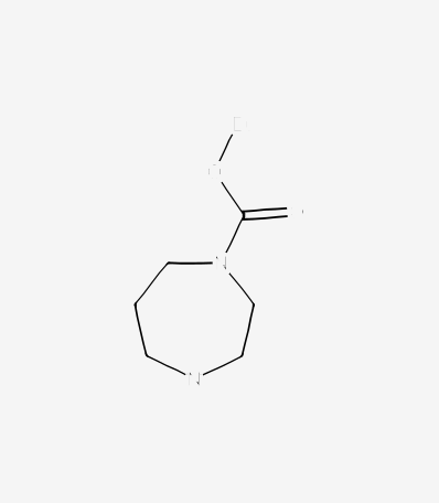 CCOC(=O)N1CCC[N]CC1